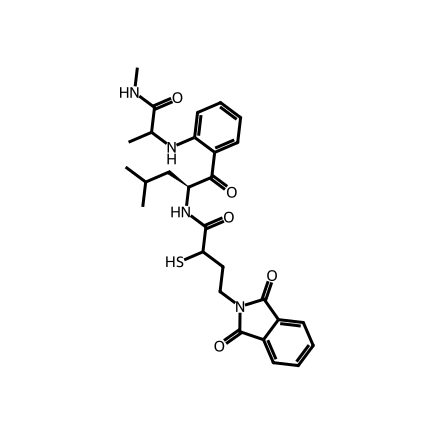 CNC(=O)C(C)Nc1ccccc1C(=O)[C@H](CC(C)C)NC(=O)C(S)CCN1C(=O)c2ccccc2C1=O